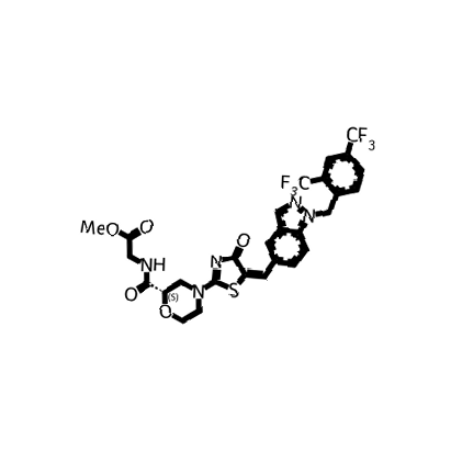 COC(=O)CNC(=O)[C@@H]1CN(C2=NC(=O)C(=Cc3ccc4c(cnn4Cc4ccc(C(F)(F)F)cc4C(F)(F)F)c3)S2)CCO1